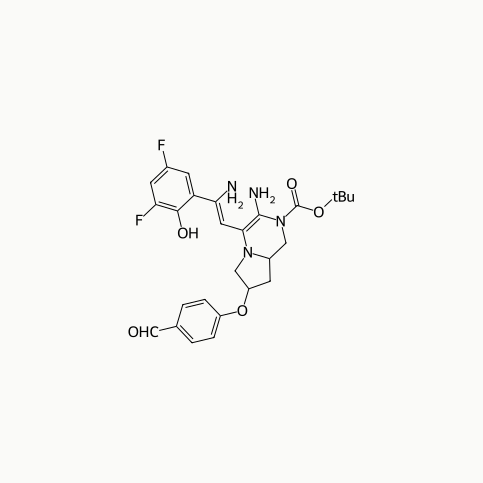 CC(C)(C)OC(=O)N1CC2CC(Oc3ccc(C=O)cc3)CN2C(/C=C(\N)c2cc(F)cc(F)c2O)=C1N